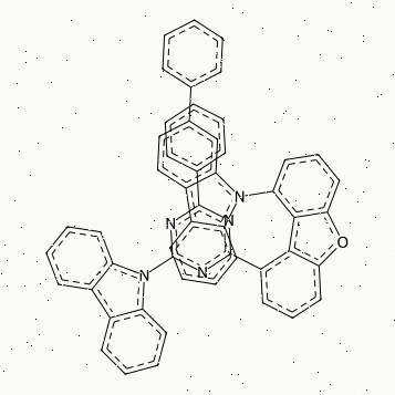 c1ccc(-c2ccc3c4ccccc4n(-c4cccc5oc6cccc(-c7nc(-c8ccccc8)nc(-n8c9ccccc9c9ccccc98)n7)c6c45)c3c2)cc1